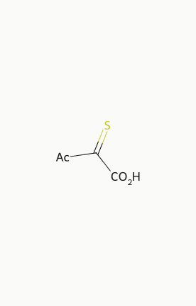 CC(=O)C(=S)C(=O)O